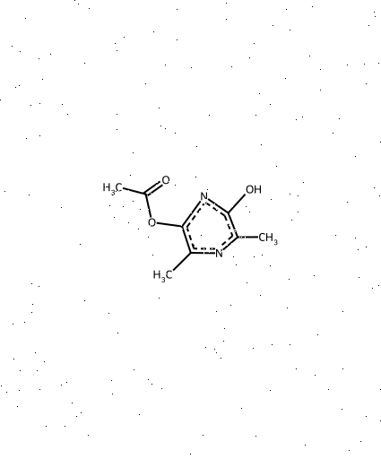 CC(=O)Oc1nc(O)c(C)nc1C